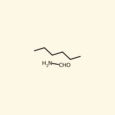 CCCCCC.NC=O